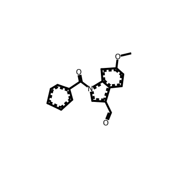 COc1ccc2c(C=O)cn(C(=O)c3ccccc3)c2c1